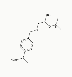 CCCCCCCCCCC(C)c1ccc(COCC(O[SiH](C)C)C(C)(C)C)cc1